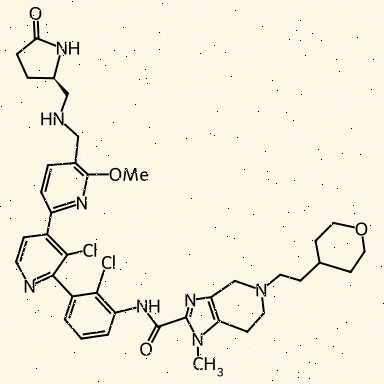 COc1nc(-c2ccnc(-c3cccc(NC(=O)c4nc5c(n4C)CCN(CCC4CCOCC4)C5)c3Cl)c2Cl)ccc1CNC[C@H]1CCC(=O)N1